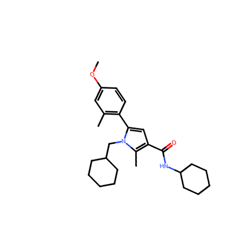 COc1ccc(-c2cc(C(=O)NC3CCCCC3)c(C)n2CC2CCCCC2)c(C)c1